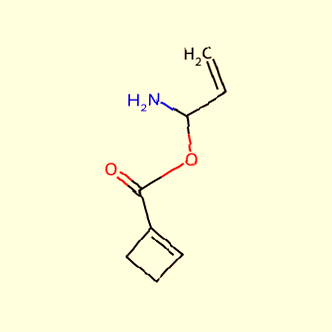 C=CC(N)OC(=O)C1=CCC1